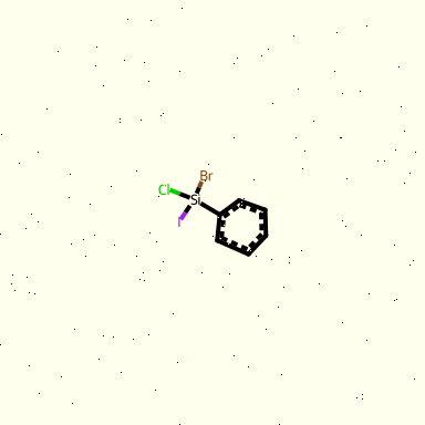 Cl[Si](Br)(I)c1ccccc1